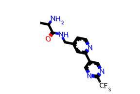 CC(N)C(=O)NCc1ccnc(-c2cnc(C(F)(F)F)nc2)c1